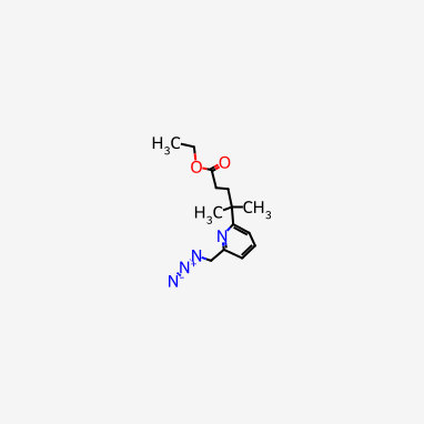 CCOC(=O)CCC(C)(C)c1cccc(CN=[N+]=[N-])n1